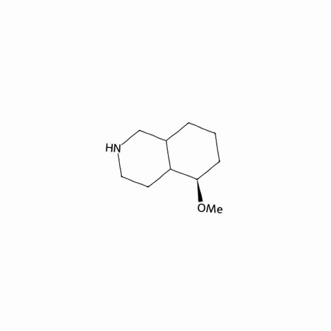 CO[C@@H]1CCCC2CNCCC21